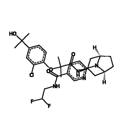 CC(C)(Oc1ccc(C(C)(C)O)cc1Cl)C(=O)N[C@H]1C[C@H]2CC[C@@H](C1)N2c1ccc(C(=O)NCC(F)F)cn1